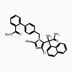 CCCCc1nc(Cl)c(C(N)(C(N)=O)c2cccc3ccccc23)n1Cc1ccc(-c2ccccc2C(=O)OC)cc1